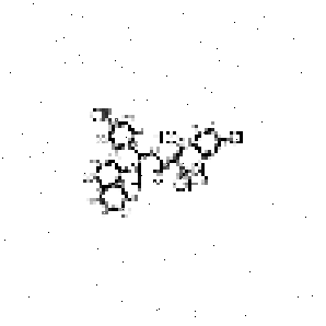 CN1c2cc(Cl)ccc2C(O)=C(C(=O)CC(Nc2cccc3ccccc23)c2ccc(Cl)cc2)C1O